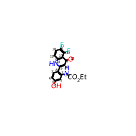 CCOC(=O)Nc1cc(O)ccc1-c1cc(=O)c2c(F)c(F)ccc2[nH]1